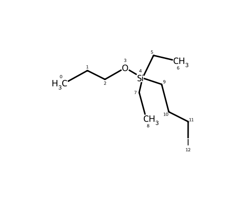 CCCO[Si](CC)(CC)CCCI